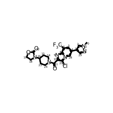 Cn1cc(-c2cc(C(F)(F)F)c3nc(C(=O)N4CCC(N5CCOC5=O)CC4)c(Cl)n3c2)cn1